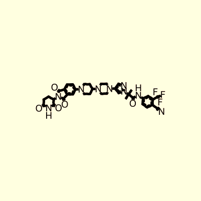 CC(C)(C(=O)Nc1ccc(C#N)c(C(F)(F)F)c1)n1cc(N2CCN(C3CCN(c4ccc5c(c4)C(=O)N(C4CCC(=O)NC4=O)C5=O)CC3)CC2)cn1